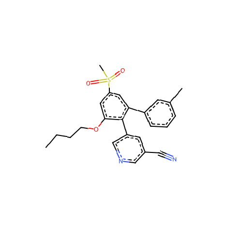 CCCCOc1cc(S(C)(=O)=O)cc(-c2cccc(C)c2)c1-c1cncc(C#N)c1